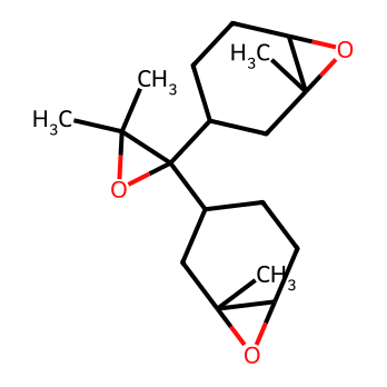 CC12CC(C3(C4CCC5OC5(C)C4)OC3(C)C)CCC1O2